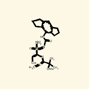 C=C=C(S/C(=C\C)S(N)(=O)=NC(=O)Nc1c2c(cc3c1CCC3)CCC2)C(C)(C)OC